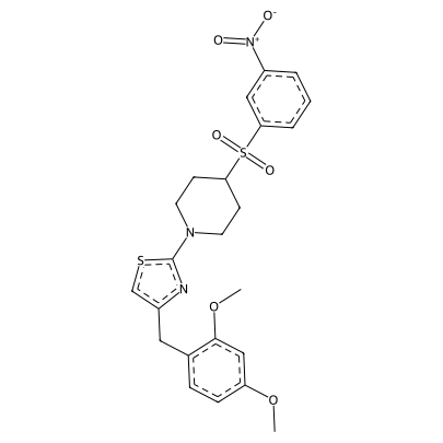 COc1ccc(Cc2csc(N3CCC(S(=O)(=O)c4cccc([N+](=O)[O-])c4)CC3)n2)c(OC)c1